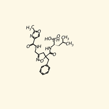 Cc1nc(C(=O)NCC2=NOC(Cc3ccccc3)(C(=O)N[C@@H](CC(C)C)B(O)O)C2)co1